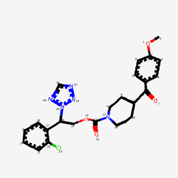 COc1ccc(C(=O)C2CCN(C(=O)OCC(c3ccccc3Cl)n3ncnn3)CC2)cc1